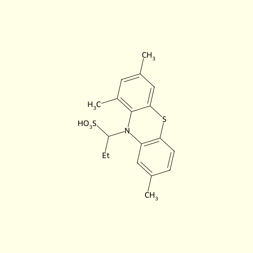 CCC(N1c2cc(C)ccc2Sc2cc(C)cc(C)c21)S(=O)(=O)O